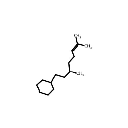 CC(C)=CCC[C@@H](C)CCC1CCCCC1